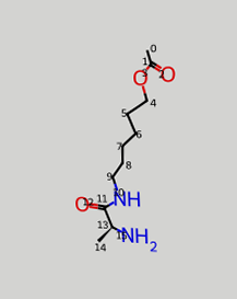 CC(=O)OCCCCCCNC(=O)[C@H](C)N